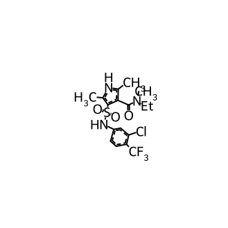 CCN(C)C(=O)c1c(C)[nH]c(C)c1S(=O)(=O)Nc1ccc(C(F)(F)F)c(Cl)c1